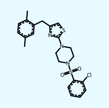 Cc1ccc(C)c(Cc2csc(N3CCN(S(=O)(=O)c4ccccc4Cl)CC3)n2)c1